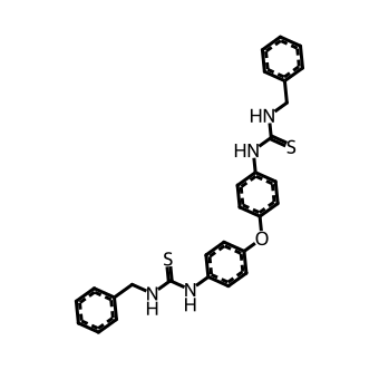 S=C(NCc1ccccc1)Nc1ccc(Oc2ccc(NC(=S)NCc3ccccc3)cc2)cc1